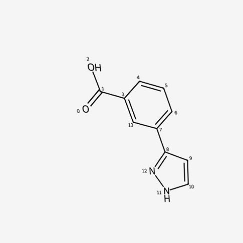 O=C(O)c1cccc(-c2cc[nH]n2)c1